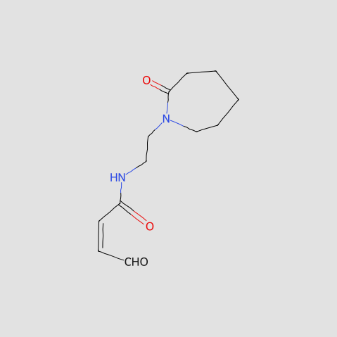 O=C/C=C\C(=O)NCCN1CCCCCC1=O